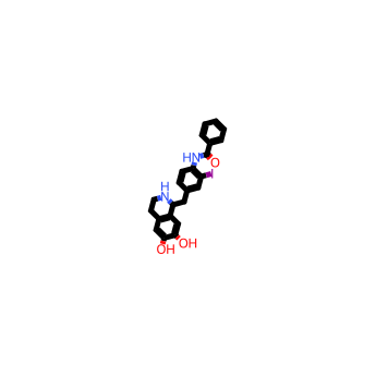 O=C(Nc1ccc(CC2NCCc3cc(O)c(O)cc32)cc1I)c1ccccc1